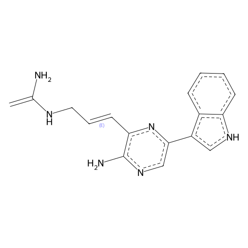 C=C(N)NC/C=C/c1nc(-c2c[nH]c3ccccc23)cnc1N